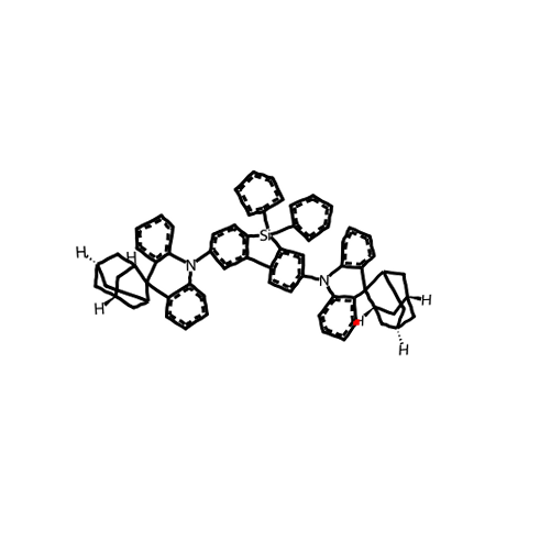 c1ccc([Si]2(c3ccccc3)c3ccc(N4c5ccccc5C5(c6ccccc64)C4C[C@H]6C[C@@H](C4)C[C@@H]5C6)cc3-c3ccc(N4c5ccccc5C5(c6ccccc64)C4C[C@H]6C[C@@H](C4)C[C@@H]5C6)cc32)cc1